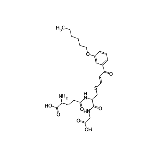 CCCCCCOc1cccc(C(=O)C=CSCC(NC(=O)CCC(N)C(=O)O)C(=O)NCC(=O)O)c1